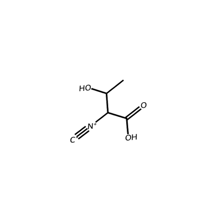 [C-]#[N+]C(C(=O)O)C(C)O